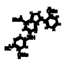 CN[C@@H]1N=C(Nc2ccc(C#N)c(OC)c2)N=C2C1=CCC2c1ccccc1OC